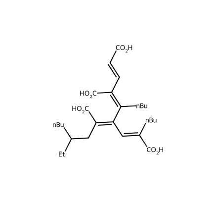 CCCCC(=CC(=C(CC(CC)CCCC)C(=O)O)C(CCCC)=C(C=CC(=O)O)C(=O)O)C(=O)O